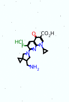 Cl.NCC1CN(c2nc3c(cc2F)c(=O)c(C(=O)O)cn3C2CC2)CC12CC2